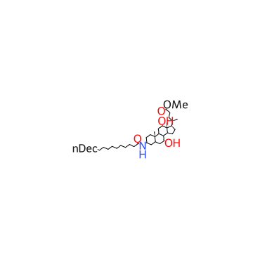 CCCCCCCCCCCCCCCCCCCC(=O)N[C@H]1CC[C@@]2(C)C(C1)C[C@@H](O)C1C2C[C@H](O)[C@@]2(C)C1CC[C@@H]2[C@H](C)CCC(=O)OC